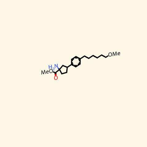 COCCCCCCc1ccc(C2CCC(N)(C(=O)OC)C2)cc1